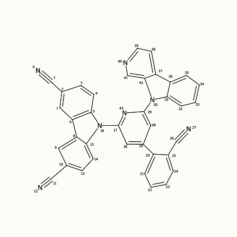 N#Cc1ccc2c(c1)c1cc(C#N)ccc1n2-c1cc(-c2ccccc2C#N)cc(-n2c3ccccc3c3ccncc32)n1